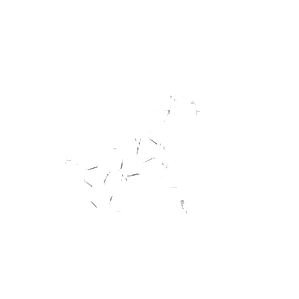 CCc1c(F)ccc2cc(O)cc(-c3ncc4c(N5CCCC(C#N)CC5)nc(OC[C@@]56CCCN5C[C@H](F)C6)nc4c3F)c12